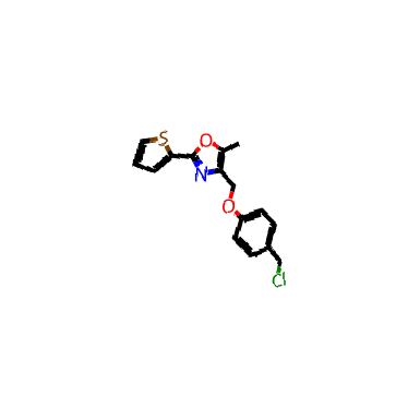 Cc1oc(-c2cccs2)nc1COc1ccc(CCl)cc1